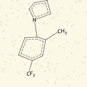 Cc1cc(C(F)(F)F)ccc1-n1cccc1